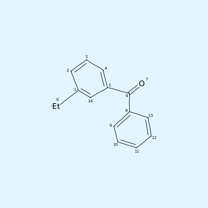 C[CH]c1cccc(C(=O)c2ccccc2)c1